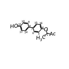 CC(=O)C(C)Oc1ccc(-c2ccc(O)cc2)cc1